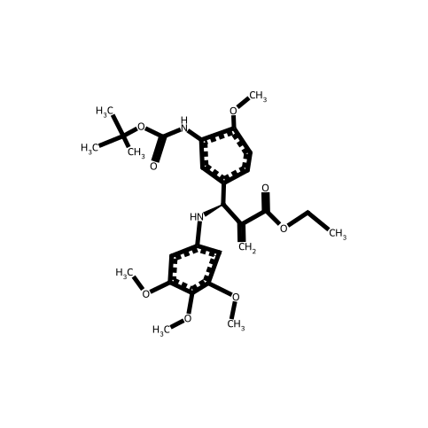 C=C(C(=O)OCC)[C@@H](Nc1cc(OC)c(OC)c(OC)c1)c1ccc(OC)c(NC(=O)OC(C)(C)C)c1